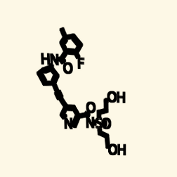 Cc1ccc(F)c(C(=O)Nc2cccc(C#Cc3cncc(C(=O)N=S(=O)(CCCO)CCCO)c3)c2)c1